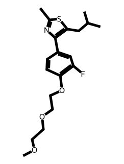 COCCOCCOc1ccc(-c2nc(C)sc2CC(C)C)cc1F